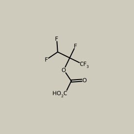 O=C(O)C(=O)OC(F)(C(F)F)C(F)(F)F